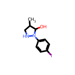 CC1CNN(c2ccc(I)cc2)C1O